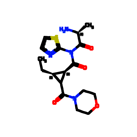 CC[C@H]1C(C(=O)N2CCOCC2)[C@@H]1C(=O)N(C(=O)[C@@H](C)N)c1nccs1